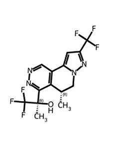 C[C@H]1Cn2nc(C(F)(F)F)cc2-c2cnnc([C@@](C)(O)C(F)(F)F)c21